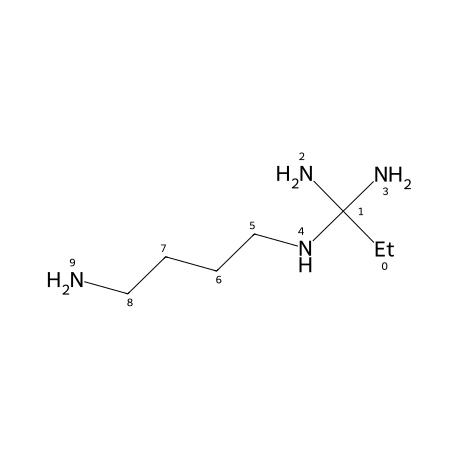 CCC(N)(N)NCCCCN